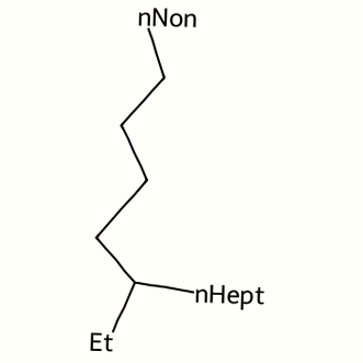 [CH2]CC(CCCCCCC)CCCCCCCCCCCCC